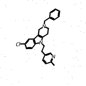 Cc1ccc(CCn2c3c(c4cc(Cl)ccc42)CN(Cc2ccccc2)CC3)cn1